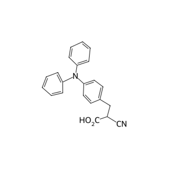 N#CC(Cc1ccc(N(c2ccccc2)c2ccccc2)cc1)C(=O)O